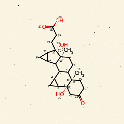 C[C@]12CCC3C(C4CC4[C@]4(O)CC(=O)CC[C@]34C)C1C1CC1[C@@]2(O)CCC(=O)O